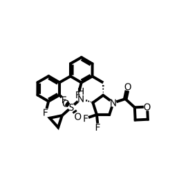 O=C(C1CCO1)N1CC(F)(F)[C@H](NS(=O)(=O)C2CC2)[C@@H]1Cc1cccc(-c2cccc(F)c2F)c1F